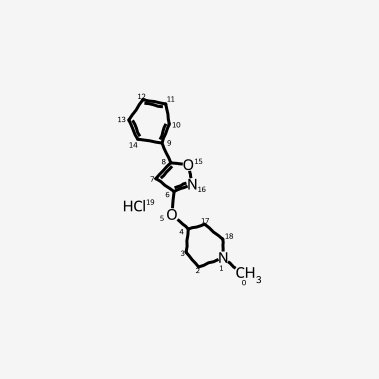 CN1CCC(Oc2cc(-c3ccccc3)on2)CC1.Cl